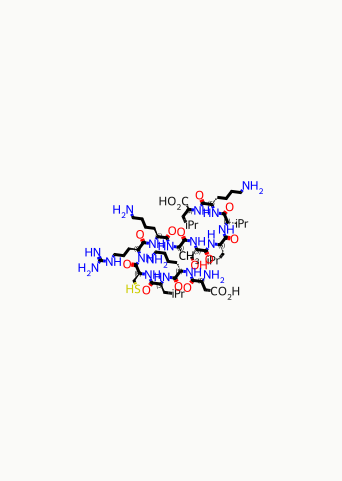 CC(C)C[C@H](NC(=O)[C@H](CCCCN)NC(=O)[C@@H](NC(=O)[C@H](CC(C)C)NC(=O)[C@H](CO)NC(=O)[C@H](C)NC(=O)[C@H](CCCCN)NC(=O)[C@H](CCCNC(=N)N)NC(=O)[C@H](CS)NC(=O)[C@H](CC(C)C)NC(=O)[C@H](CCCCN)NC(=O)[C@@H](N)CC(=O)O)C(C)C)C(=O)O